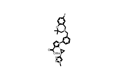 COC(=O)c1ccn(-c2cccc(CN3Cc4cc(F)ccc4OC(C)(C)C3)c2)c1[C@@H]1C[C@H]1c1cn(C)nn1